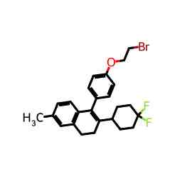 Cc1ccc2c(c1)CCC(C1CCC(F)(F)CC1)=C2c1ccc(OCCBr)cc1